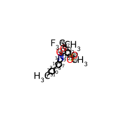 Cc1ccc(-c2ccc3c(c2)CN(C(=O)c2cc(S(C)(=O)=O)ccc2OC(C)C(F)(F)F)C3)cc1